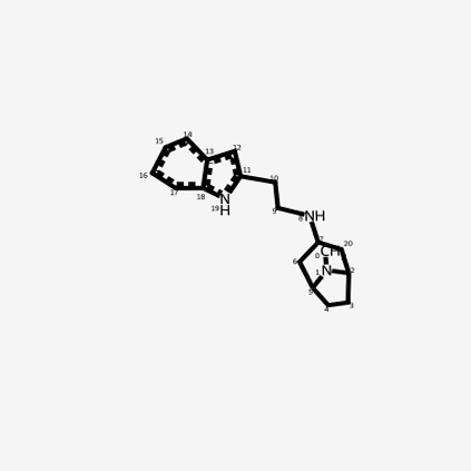 CN1C2CCC1CC(NCCc1cc3ccccc3[nH]1)C2